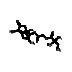 CCC(C)(C)C(=O)OCC(=O)OC1C2OC(=O)C3(C)C2CC1(C)C3C